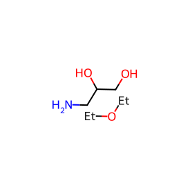 CCOCC.NCC(O)CO